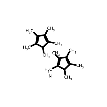 CC1=C(C)C(C)C(C)=C1C.CC1=C(C)C(C)C(C)=C1C.[Ni]